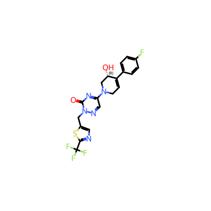 O=c1nc(N2CC=C(c3ccc(F)cc3)[C@@H](O)C2)cnn1Cc1cnc(C(F)(F)F)s1